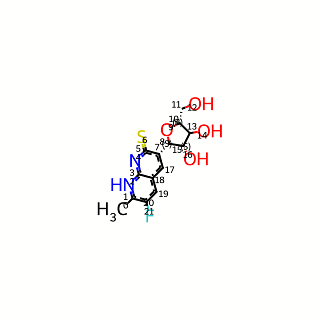 Cc1[nH]c2nc(=S)c([C@@H]3O[C@H](CO)C(O)[C@@H]3O)cc-2cc1F